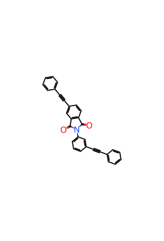 O=C1c2ccc(C#Cc3ccccc3)cc2C(=O)N1c1cccc(C#Cc2ccccc2)c1